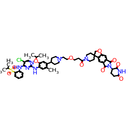 Cc1cc(Nc2ncc(Cl)c(Nc3ccccc3S(=O)(=O)C(C)C)n2)c(OC(C)C)cc1C1CCN(CCOCCC(=O)N2CCC3(CC2)COc2cc4c(cc23)C(=O)N(C2CCC(=O)NC2=O)C4=O)CC1